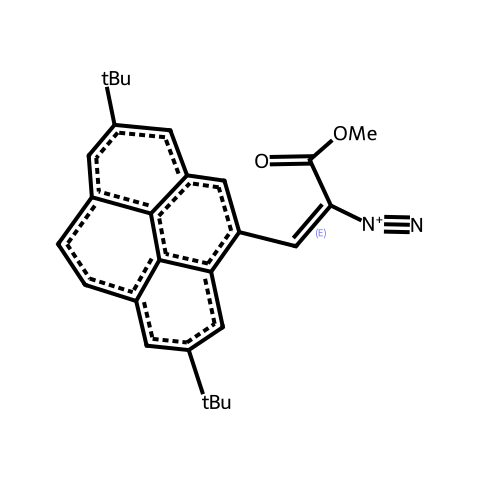 COC(=O)/C(=C\c1cc2cc(C(C)(C)C)cc3ccc4cc(C(C)(C)C)cc1c4c32)[N+]#N